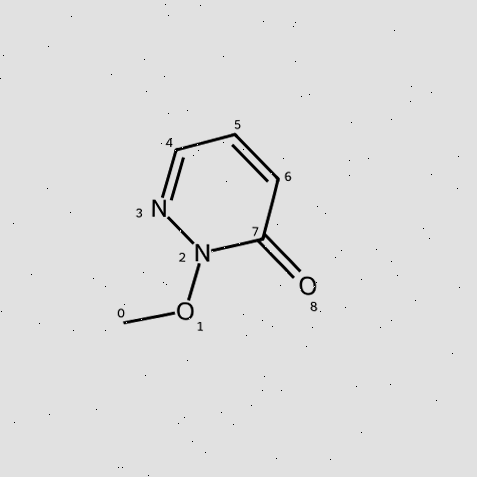 COn1ncccc1=O